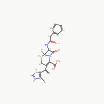 C=C(C1=C(C(=O)O)N2C(=O)C(NC(=O)Cc3ccccc3)[C@H]2SC1)c1scnc1C